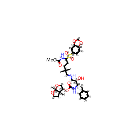 COC(=O)NC(CCC(C)(C)CNC[C@H](O)[C@H](Cc1ccccc1)NC(=O)O[C@H]1CO[C@H]2OCC[C@H]21)S(=O)(=O)c1ccc2c(c1)OCO2